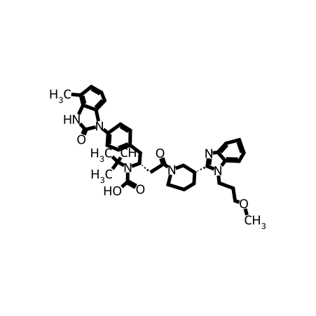 COCCCn1c([C@@H]2CCCN(C(=O)C[C@@H](Cc3ccc(-n4c(=O)[nH]c5c(C)cccc54)cc3)N(C(=O)O)C(C)(C)C)C2)nc2ccccc21